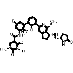 COc1nc(-c2cccc(-c3cc(F)cc(NC(=O)c4cn(C)c(=O)n(C)c4=O)c3C)c2Cl)cc2c1[C@@H](NC[C@@H]1CCC(=O)N1)CC2